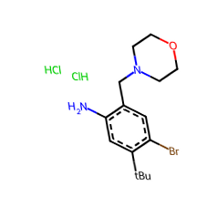 CC(C)(C)c1cc(N)c(CN2CCOCC2)cc1Br.Cl.Cl